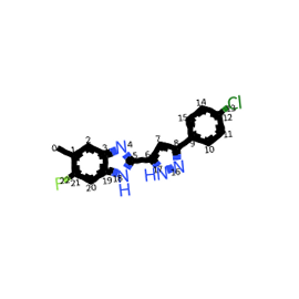 Cc1cc2nc(-c3cc(-c4ccc(Cl)cc4)n[nH]3)[nH]c2cc1F